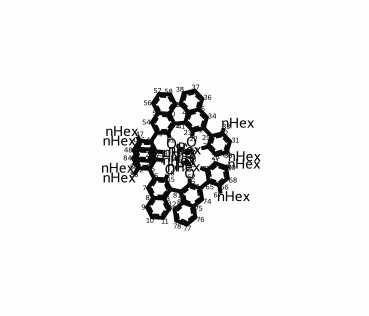 CCCCCCc1cc(CCCCCC)c(-c2cc3ccccc3c3c2OP(=O)(NP2(=O)Oc4c(-c5c(CCCCCC)cc(CCCCCC)cc5CCCCCC)cc5ccccc5c4-c4c(c(-c5c(CCCCCC)cc(CCCCCC)cc5CCCCCC)cc5ccccc45)O2)Oc2c(-c4c(CCCCCC)cc(CCCCCC)cc4CCCCCC)cc4ccccc4c2-3)c(CCCCCC)c1